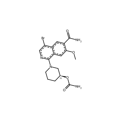 COc1cc2c(N3CCC[C@H](OC(N)=O)C3)ncc(Br)c2cc1C(N)=O